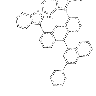 Cc1nc2ccccc2n1-c1cccc2c(-c3cc(-c4ccccc4)cc4ccccc34)c3cccc(-n4c(C)nc5ccccc54)c3cc12